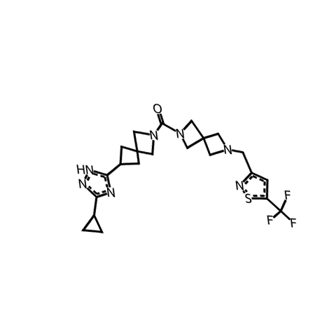 O=C(N1CC2(CC(c3nc(C4CC4)n[nH]3)C2)C1)N1CC2(CN(Cc3cc(C(F)(F)F)sn3)C2)C1